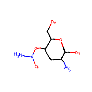 NC1CC(ON(N)O)C(CO)OC1O